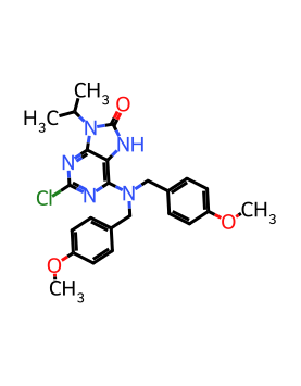 COc1ccc(CN(Cc2ccc(OC)cc2)c2nc(Cl)nc3c2[nH]c(=O)n3C(C)C)cc1